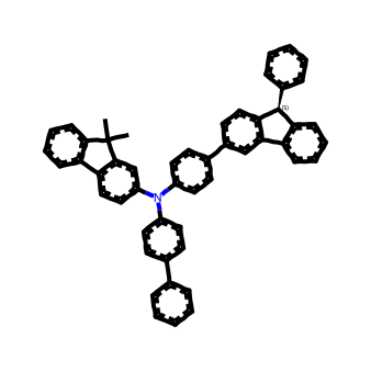 CC1(C)c2ccccc2-c2ccc(N(c3ccc(-c4ccccc4)cc3)c3ccc(-c4ccc5c(c4)-c4ccccc4[C@@H]5c4ccccc4)cc3)cc21